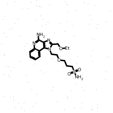 CCOCc1nc2c(N)nc3ccccc3c2n1CCOCCCS(N)(=O)=O